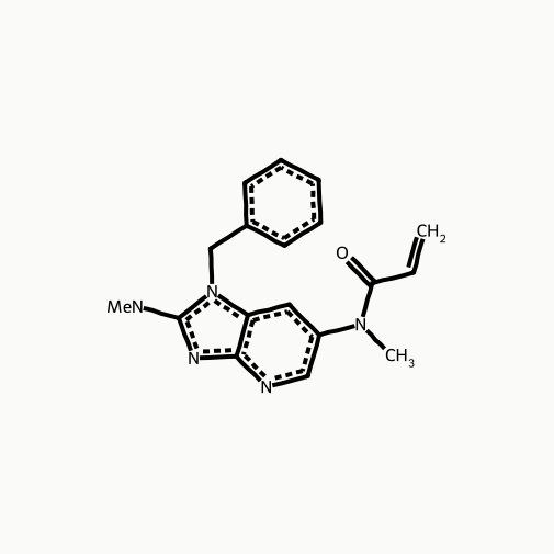 C=CC(=O)N(C)c1cnc2nc(NC)n(Cc3ccccc3)c2c1